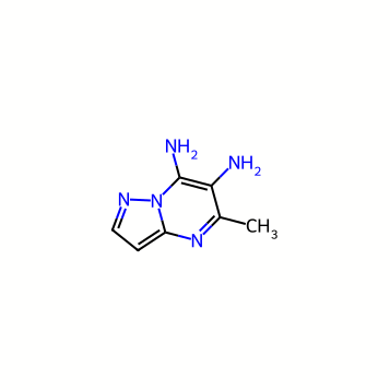 Cc1nc2ccnn2c(N)c1N